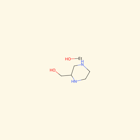 CCO.OCC1CNCCN1